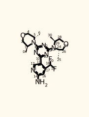 C[C@H]1COC[C@H](C)N1c1nc(-c2cnc(N)cc2C(F)F)nc(N2[C@@H](C)COC[C@@H]2C)n1